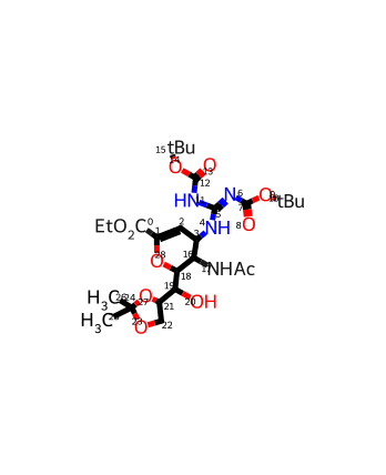 CCOC(=O)C1=CC(N/C(=N\C(=O)OC(C)(C)C)NC(=O)OC(C)(C)C)C(NC(C)=O)C(C(O)C2COC(C)(C)O2)O1